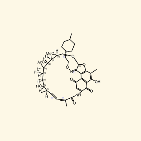 CO[C@H]1/C=C/O[C@@]2(C)Oc3c(C)c(O)c4c(c3/C2=N/OCCN2CCC(C)CC2)C(=O)C=C(NC(=O)/C(C)=C\C=C\[C@H](C)[C@H](O)[C@@H](C)[C@@H](O)[C@@H](C)[C@H](OC(C)=O)[C@@H]1C)C4=O